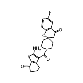 Nc1sc2c(c1C(=O)N1CCC3(CC1)CC(=O)c1cc(F)ccc1O3)CCCC2=O